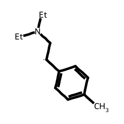 CCN(CC)C[CH]c1ccc(C)cc1